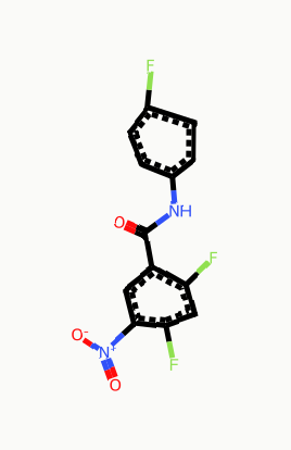 O=C(Nc1ccc(F)cc1)c1cc([N+](=O)[O-])c(F)cc1F